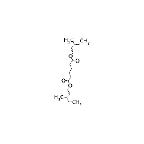 CCC(C)C=COC(=O)CCCCC(=O)OC=CC(C)CC